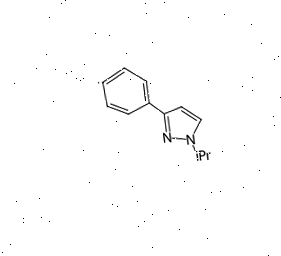 CC(C)n1ccc(-c2cc[c]cc2)n1